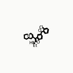 CCNc1oc2ccc(C(=O)c3ccccc3Cl)cc2c1C1=CCN2CCCCC2C1